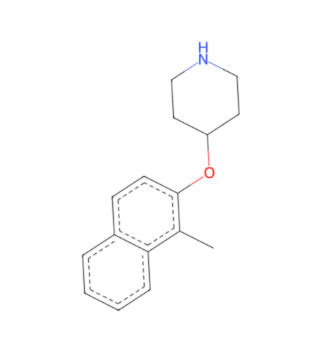 Cc1c(OC2CCNCC2)ccc2ccccc12